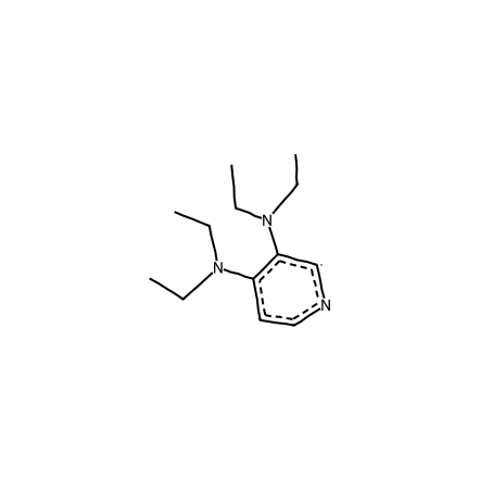 CCN(CC)c1[c]nccc1N(CC)CC